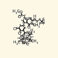 COC(=O)Cn1cc(-c2cc(Cl)c(OCC[Si](C)(C)C)c(C(=O)NC(C)(C)CC(C)(C)C)c2)c2c(=O)n(C)c(NCCC(F)(F)F)nc21